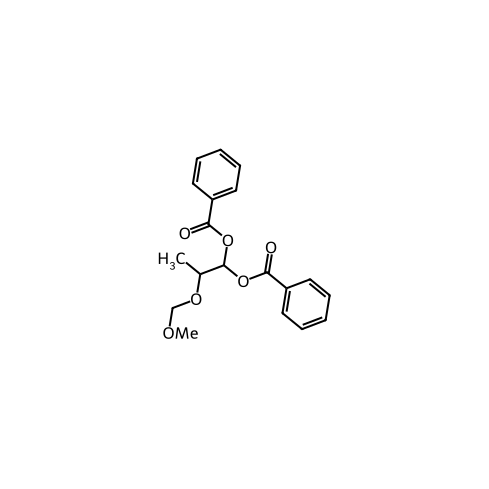 COCOC(C)C(OC(=O)c1ccccc1)OC(=O)c1ccccc1